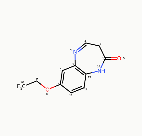 O=C1CC=Nc2cc(OCC(F)(F)F)ccc2N1